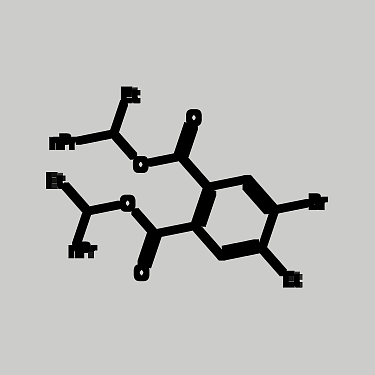 CCCC(CC)OC(=O)c1cc(Br)c(CC)cc1C(=O)OC(CC)CCC